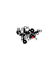 CC(C)CC[C@H](NC(=O)[C@H](CCc1ccccc1)NC(=O)CN1CCOCC1)C(=O)N[C@@H](Cc1ccccc1)C(=O)NC(CC(C)C)/C(=N/OCC(=O)O)[C@@]1(C)CO1